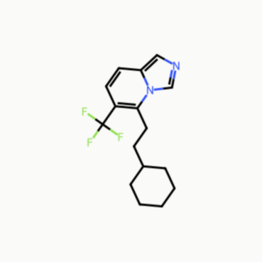 FC(F)(F)c1ccc2cncn2c1CCC1CCCCC1